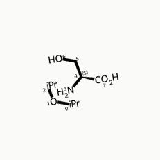 CC(C)OC(C)C.N[C@@H](CO)C(=O)O